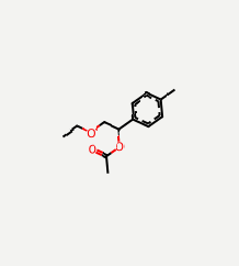 CCOCC(OC(C)=O)c1ccc(C)cc1